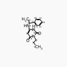 CCCn1c(=O)cc(NC(C)c2ccccc2)[nH]c1=O